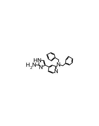 Nc1nc(-c2ccnc(N(Cc3ccccc3)Cc3ccccc3)c2)c[nH]1